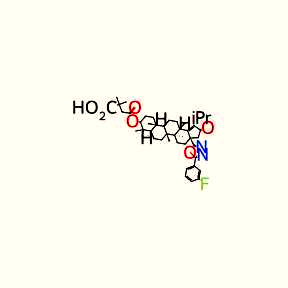 CC(C)C1=C2[C@H]3CC[C@@H]4[C@@]5(C)CC[C@H](OC(=O)CC(C)(C)C(=O)O)C(C)(C)[C@@H]5CC[C@@]4(C)[C@]3(C)CC[C@@]2(c2nnc(-c3cccc(F)c3)o2)CC1=O